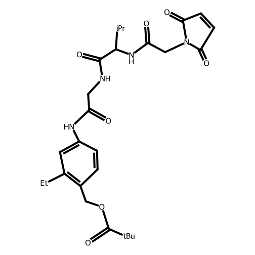 CCc1cc(NC(=O)CNC(=O)C(NC(=O)CN2C(=O)C=CC2=O)C(C)C)ccc1COC(=O)C(C)(C)C